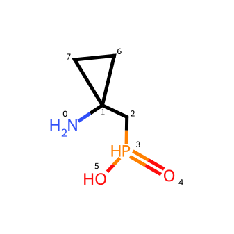 NC1(C[PH](=O)O)CC1